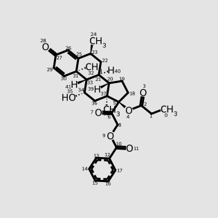 CCC(=O)O[C@]1(C(=O)COC(=O)c2ccccc2)CC[C@H]2[C@@H]3C[C@H](C)C4=CC(=O)C=C[C@]4(C)[C@H]3[C@@H](O)C[C@@]21C